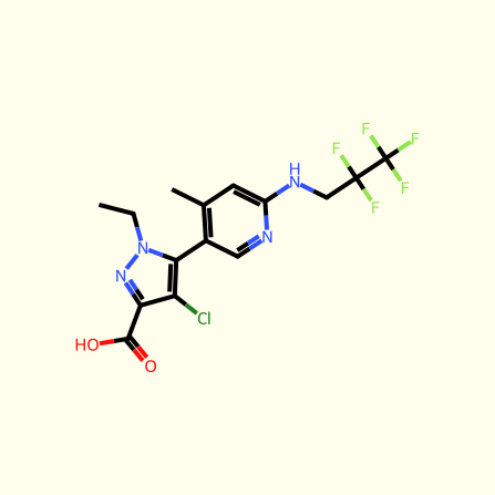 CCn1nc(C(=O)O)c(Cl)c1-c1cnc(NCC(F)(F)C(F)(F)F)cc1C